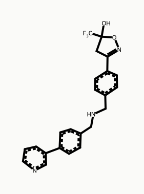 OC1(C(F)(F)F)CC(c2ccc(CNCc3ccc(-c4cccnc4)cc3)cc2)=NO1